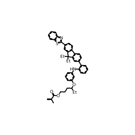 C=C(C)C(=O)OCCCC(CC)Oc1cccc(Nc2ccccc2-c2ccc3c(c2)C(CC)(CC)c2cc(-c4nc5ccccc5s4)ccc2-3)c1